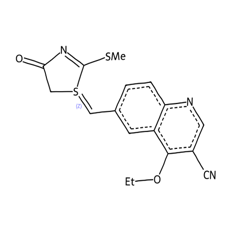 CCOc1c(C#N)cnc2ccc(/C=S3/CC(=O)N=C3SC)cc12